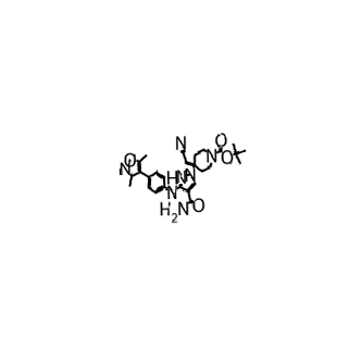 Cc1noc(C)c1-c1ccc(Nc2nn(C3(CC#N)CCN(C(=O)OC(C)(C)C)CC3)cc2C(N)=O)cc1